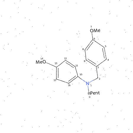 CCCCCN(Cc1ccc(OC)cc1)c1ccc(OC)cc1